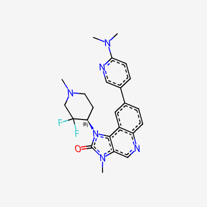 CN1CC[C@@H](n2c(=O)n(C)c3cnc4ccc(-c5ccc(N(C)C)nc5)cc4c32)C(F)(F)C1